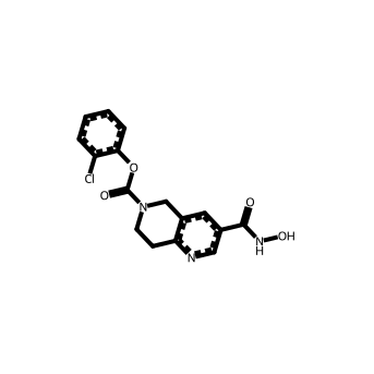 O=C(NO)c1cnc2c(c1)CN(C(=O)Oc1ccccc1Cl)CC2